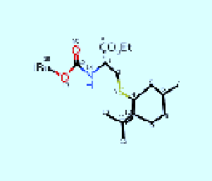 CCOC(=O)[C@H](CSC1CC(C)CCC1=C(C)C)NC(=O)OC(C)(C)C